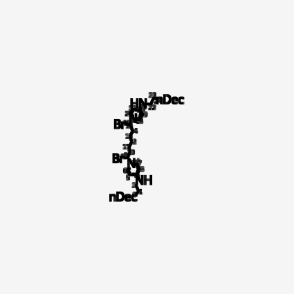 CCCCCCCCCCCCNc1cc[n+](C(Br)CCCCCC(Br)[n+]2ccc(NCCCCCCCCCCCC)cc2)cc1